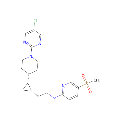 CS(=O)(=O)c1ccc(NCC[C@@H]2C[C@@H]2C2CCN(c3ncc(Cl)cn3)CC2)nc1